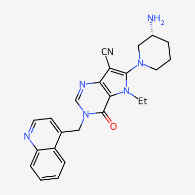 CCn1c(N2CCC[C@@H](N)C2)c(C#N)c2ncn(Cc3ccnc4ccccc34)c(=O)c21